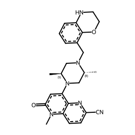 C[C@@H]1CN(c2cc(=O)n(C)c3ccc(C#N)nc23)[C@@H](C)CN1Cc1cccc2c1OCCN2